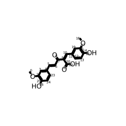 COc1cc(C=CC(=O)C(=Cc2ccc(O)c(OC)c2)C(=O)O)ccc1O